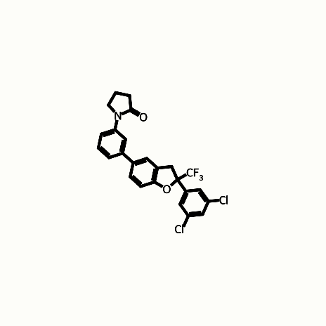 O=C1CCCN1c1cccc(-c2ccc3c(c2)CC(c2cc(Cl)cc(Cl)c2)(C(F)(F)F)O3)c1